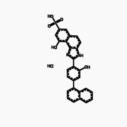 Cl.O=S(=O)(O)c1cc(O)c2c(ccc3[nH]c(-c4ccc(-c5cccc6ccccc56)cc4O)nc32)c1